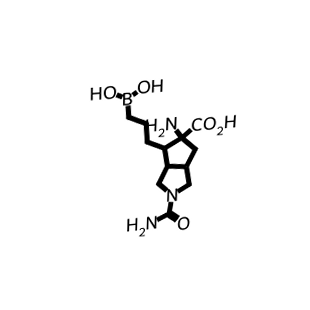 NC(=O)N1CC2CC(N)(C(=O)O)C(CCCB(O)O)C2C1